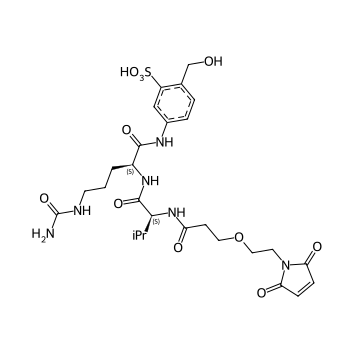 CC(C)[C@H](NC(=O)CCOCCN1C(=O)C=CC1=O)C(=O)N[C@@H](CCCNC(N)=O)C(=O)Nc1ccc(CO)c(S(=O)(=O)O)c1